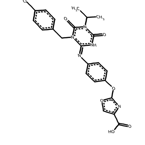 CC(C)n1c(=O)[nH]/c(=N\c2ccc(Oc3nc(C(=O)O)co3)cc2)n(Cc2ccc(Cl)cc2)c1=O